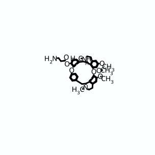 COc1cc2c3cc1Oc1c(OC)c(OC)cc4c1[C@@H](Cc1ccc(OC(=O)CCN)c(c1)Oc1ccc(cc1)CC3N(C)CC2)N(C)CC4